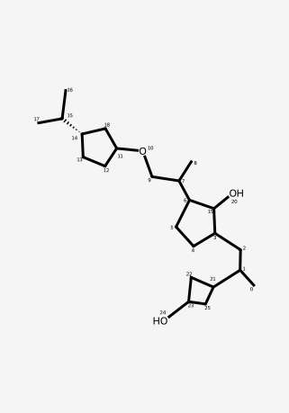 CC(CC1CCC(C(C)COC2CC[C@H](C(C)C)C2)C1O)C1CC(O)C1